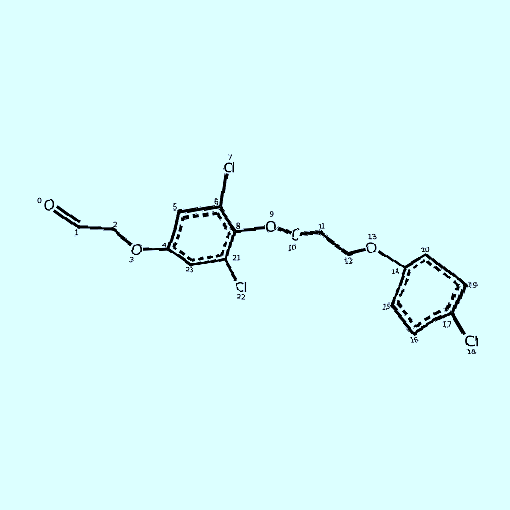 O=CCOc1cc(Cl)c(OCCCOc2ccc(Cl)cc2)c(Cl)c1